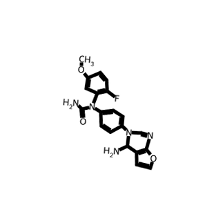 COc1ccc(F)c(N(C(N)=O)c2ccc(N3C=Nc4occc4C3N)cc2)c1